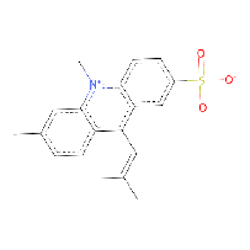 CC(C)=Cc1c2cc(S(=O)(=O)[O-])ccc2[n+](C)c2cc(C)ccc12